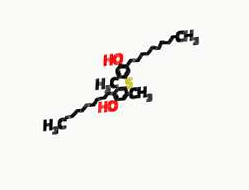 CCCCCCCCCCc1cc(Sc2cc(CCCCCCCCCC)c(O)cc2C)c(C)cc1O